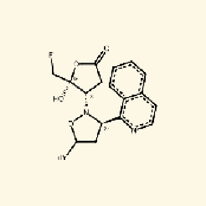 CC(C)C1C[C@H](c2nccc3ccccc23)N([C@H]2CC(=O)O[C@]2(O)CF)O1